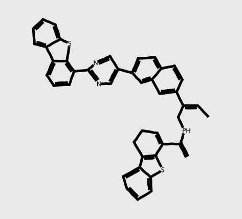 C=C(PC/C(=C\C)c1ccc2ccc(-c3cnc(-c4cccc5c4sc4ccccc45)nc3)cc2c1)C1=CCCc2c1sc1ccccc21